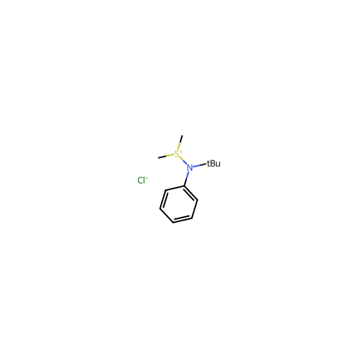 C[S+](C)N(c1ccccc1)C(C)(C)C.[Cl-]